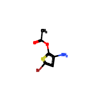 CC(=O)Oc1sc(Br)cc1N